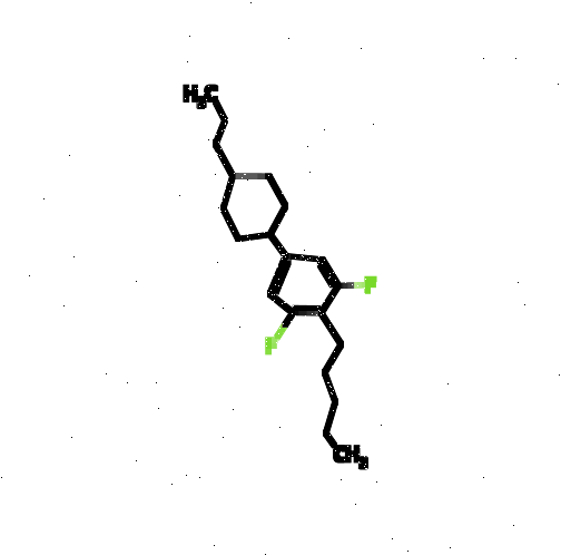 CCCCCc1c(F)cc(C2CCC(CCC)CC2)cc1F